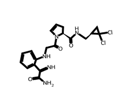 N=C(C(N)=O)c1ccccc1NCC(=O)N1C=CC[C@H]1C(=O)NC[C@H]1CC1(Cl)Cl